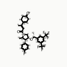 C/C(=C\C(=O)N1C[C@H](O[C@H](C)c2cc(C(F)(F)F)cc(C(F)(F)F)c2)[C@@H](c2ccc(F)cc2)C1C)C1=CCC(=O)CC1